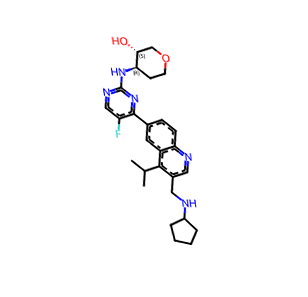 CC(C)c1c(CNC2CCCC2)cnc2ccc(-c3nc(N[C@@H]4CCOC[C@H]4O)ncc3F)cc12